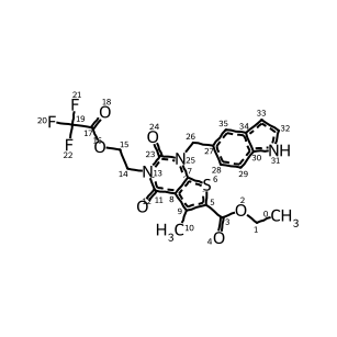 CCOC(=O)c1sc2c(c1C)c(=O)n(CCOC(=O)C(F)(F)F)c(=O)n2Cc1ccc2[nH]ccc2c1